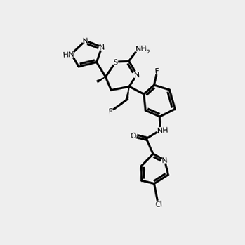 C[C@]1(c2c[nH]nn2)C[C@@](CF)(c2cc(NC(=O)c3ccc(Cl)cn3)ccc2F)N=C(N)S1